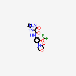 NC(=O)[C@H](NC1CCC1)C(=O)Nc1ccc(N2CCOCC2=O)c(OC(F)F)c1